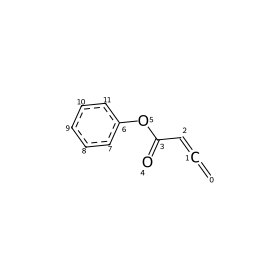 C=C=CC(=O)Oc1ccccc1